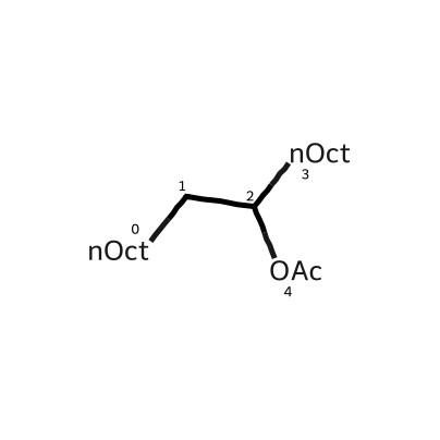 CCCCCCCCCC(CCCCCCCC)OC(C)=O